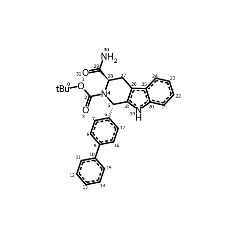 CC(C)(C)OC(=O)N1[C@@H](c2ccc(-c3ccccc3)cc2)c2[nH]c3ccccc3c2C[C@@H]1C(N)=O